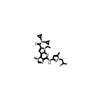 CCn1c(C(=O)N(C2CC2)C2CC2)cc2c3c(ncn3C)c(Nc3cc(C)n(CC(F)F)n3)nc21